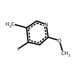 COc1cc(I)c(C)cn1